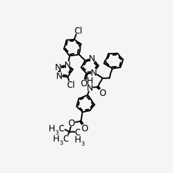 CC(C)(C)OC(=O)c1ccc(NC(=O)C(Cc2ccccc2)n2cnc(-c3cc(Cl)ccc3-n3cc(Cl)nn3)cc2=O)cc1